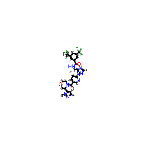 C[C@H](NC(=O)c1cc(C(F)(F)F)cc(C(F)(F)F)c1)c1ncnn1-c1ccc(C(=O)N2CCOCC2c2ccnn2C)cn1